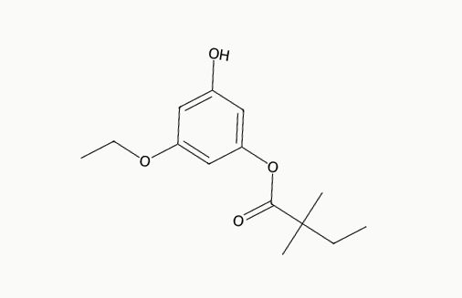 CCOc1cc(O)cc(OC(=O)C(C)(C)CC)c1